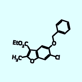 CCOC(=O)c1c(C)oc2cc(Cl)c(OCc3ccccc3)cc12